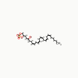 CCCCC/C=C\C/C=C\C/C=C\C/C=C\C/C=C\CCC(=O)CCC1COS(=O)(=O)O1